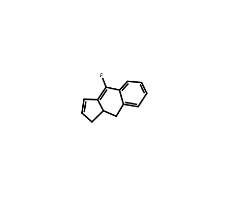 FC1=C2C=CCC2Cc2ccccc21